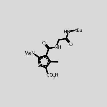 CNc1sc(C(=O)O)c(C)c1C(=O)NCC(=O)NC(C)(C)C